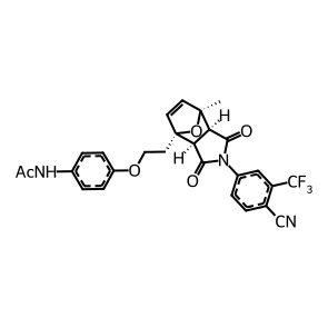 CC(=O)Nc1ccc(OCC[C@]23C=C[C@](C)(O2)[C@H]2C(=O)N(c4ccc(C#N)c(C(F)(F)F)c4)C(=O)[C@H]23)cc1